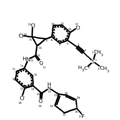 CS(C)(C)C#Cc1cc(C2C(C(=O)Nc3ccc(Cl)c(C(=O)NC4=CCC(F)C=C4)c3)C2(Cl)Cl)ccc1Cl